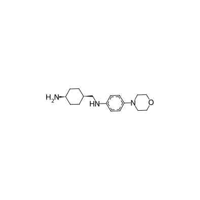 N[C@H]1CC[C@@H](CNc2ccc(N3CCOCC3)cc2)CC1